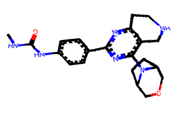 CNC(=O)Nc1ccc(-c2nc3c(c(N4C5CCC4COC5)n2)CNCC3)cc1